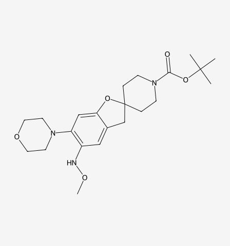 CONc1cc2c(cc1N1CCOCC1)OC1(CCN(C(=O)OC(C)(C)C)CC1)C2